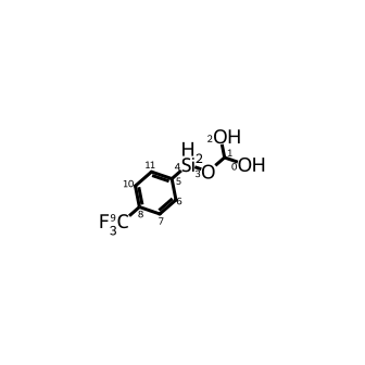 OC(O)O[SiH2]c1ccc(C(F)(F)F)cc1